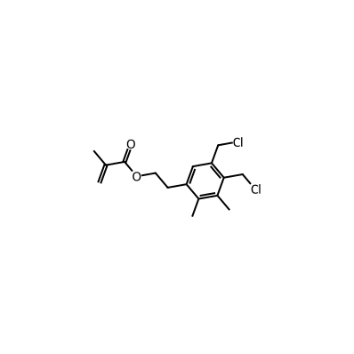 C=C(C)C(=O)OCCc1cc(CCl)c(CCl)c(C)c1C